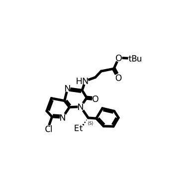 CC[C@@H](c1ccccc1)n1c(=O)c(NCCC(=O)OC(C)(C)C)nc2ccc(Cl)nc21